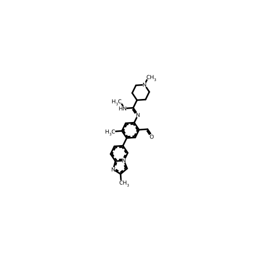 CN/C(=N\c1cc(C)c(-c2ccc3nc(C)cn3c2)cc1C=O)C1CCN(C)CC1